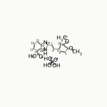 COc1ccc(C=Cc2nc3cccc(C(=O)O)c3[nH]2)cc1OC.O=P(O)(O)O